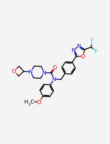 COc1ccc(N(Cc2ccc(-c3nnc(C(F)F)o3)cc2)C(=O)N2CCN(C3COC3)CC2)cc1